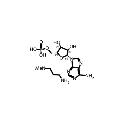 CNCCCN.Nc1ncnc2c1ncn2[C@@H]1O[C@H](COP(=O)(O)O)[C@@H](O)[C@H]1O